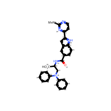 CNc1nccc(-c2cc3cc(C(=O)NC(CN(c4ccccc4)c4ccccc4)C(=O)O)ccc3[nH]2)n1